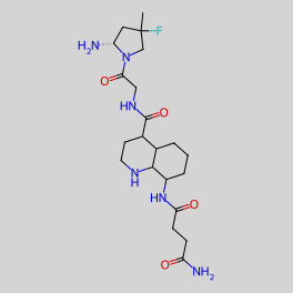 CC1(F)C[C@@H](N)N(C(=O)CNC(=O)C2CCNC3C(NC(=O)CCC(N)=O)CCCC23)C1